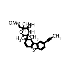 CC#Cc1ccc2sc3c(c2c1)CC(C)([C@]1(C)CO[C@](C)(COC)C(=N)N1)C=C3